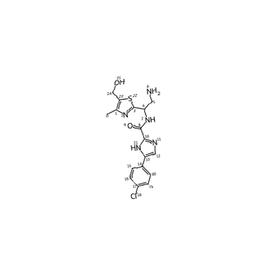 Cc1nc(C(CN)NC(=O)c2ncc(-c3ccc(Cl)cc3)[nH]2)sc1CO